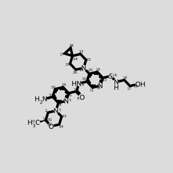 C[C@H]1CN(c2nc(C(=O)Nc3cnc(SNCCO)cc3N3CCC4(CC3)CC4)ccc2N)CCO1